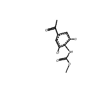 COC(=O)Nc1c(Cl)cc(C(C)=O)cc1Cl